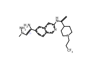 C=C(Nc1cc2cc(/C(N)=C/N(C)N)ccc2cn1)C1CCN(CCC(F)(F)F)CC1